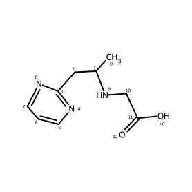 CC(Cc1ncccn1)NCC(=O)O